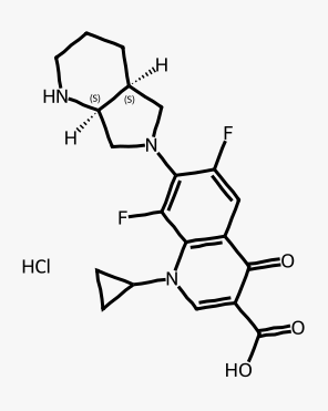 Cl.O=C(O)c1cn(C2CC2)c2c(F)c(N3C[C@@H]4CCCN[C@@H]4C3)c(F)cc2c1=O